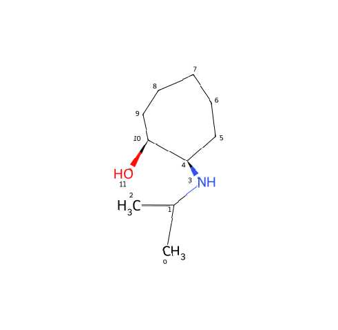 CC(C)N[C@@H]1CCCCC[C@@H]1O